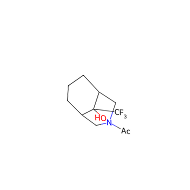 CC(=O)N1CC2CCCC(C1)C2(O)C(F)(F)F